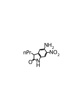 CCCC1C(=O)Nc2cc([N+](=O)[O-])c(N)cc21